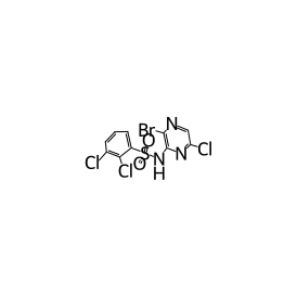 O=S(=O)(Nc1nc(Cl)cnc1Br)c1cccc(Cl)c1Cl